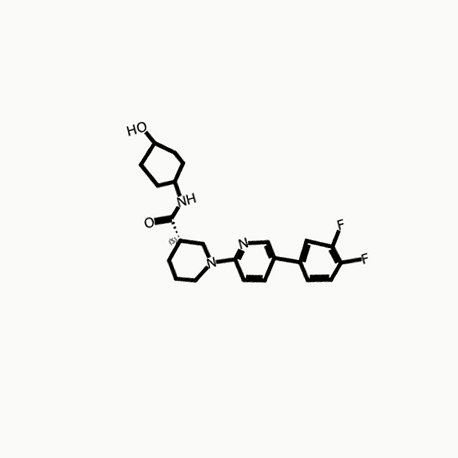 O=C(NC1CCC(O)CC1)[C@H]1CCCN(c2ccc(-c3ccc(F)c(F)c3)cn2)C1